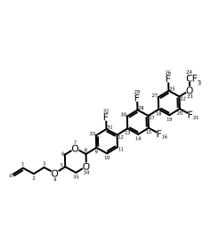 C=CCCOC1COC(c2ccc(-c3cc(F)c(-c4cc(F)c(OC(F)(F)F)c(F)c4)c(F)c3)c(F)c2)OC1